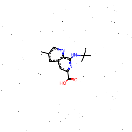 Cc1cnc2c(NC(C)(C)C)nc(C(=O)O)cc2c1